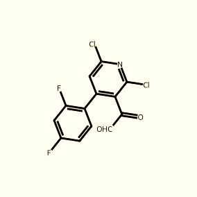 O=CC(=O)c1c(-c2ccc(F)cc2F)cc(Cl)nc1Cl